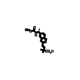 C[C@@H](NC(=O)OC(C)(C)C)c1ccc2cnc(/C=C/C(C)(C)C(=O)O)cc2c1